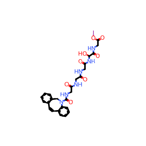 O=C(CNC(=O)CNC(=O)N1Cc2ccccc2C#Cc2ccccc21)NCC(=O)NC(O)C(=O)NCC(=O)OI